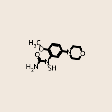 COc1ccc(N2CCOCC2)cc1N(S)C(N)=O